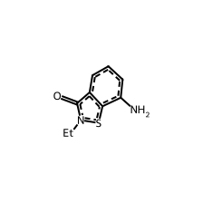 CCn1sc2c(N)cccc2c1=O